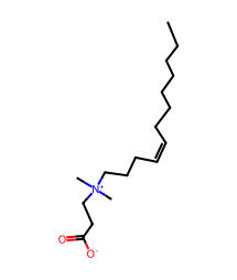 CCCCCCC/C=C\CCC[N+](C)(C)CCC(=O)[O-]